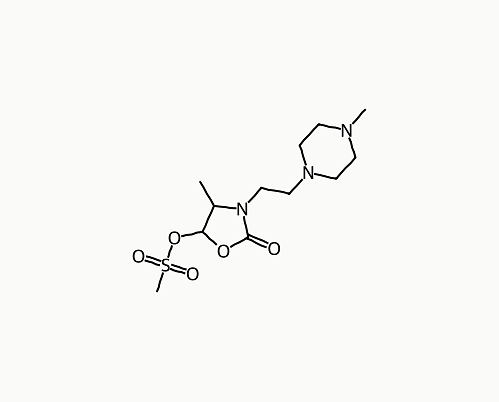 CC1C(OS(C)(=O)=O)OC(=O)N1CCN1CCN(C)CC1